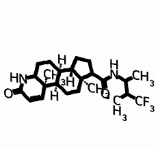 CC(NC(=O)C1CC[C@H]2[C@@H]3CCC4NC(=O)C=C[C@]4(C)[C@@H]3CC[C@]12C)C(C)C(F)(F)F